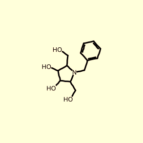 OCC1C(O)C(O)C(CO)N1Cc1ccccc1